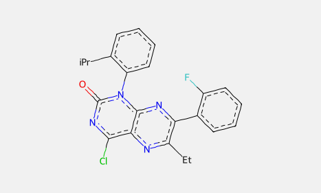 CCc1nc2c(Cl)nc(=O)n(-c3ccccc3C(C)C)c2nc1-c1ccccc1F